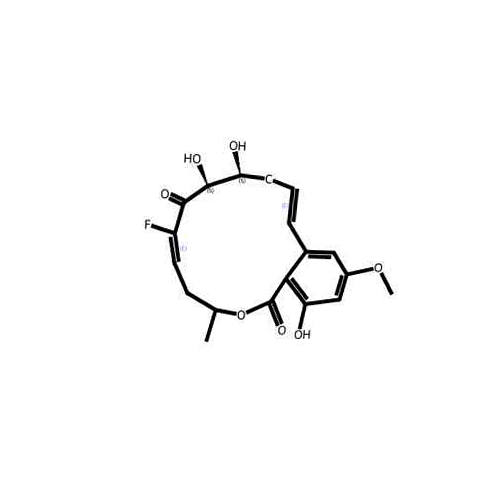 COc1cc(O)c2c(c1)/C=C/C[C@H](O)[C@H](O)C(=O)/C(F)=C\CC(C)OC2=O